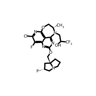 C[C@H]1COc2nc(Cl)c(F)c3nc(OC[C@@]45CCCN4C[C@H](F)C5)nc(c23)N1CC(O)C(F)(F)F